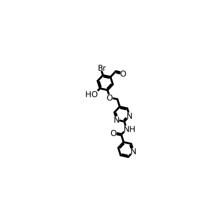 O=Cc1cc(OCc2cnc(NC(=O)c3cccnc3)nc2)c(O)cc1Br